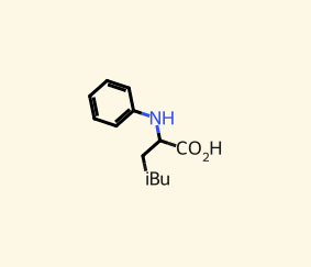 CCC(C)CC(Nc1ccccc1)C(=O)O